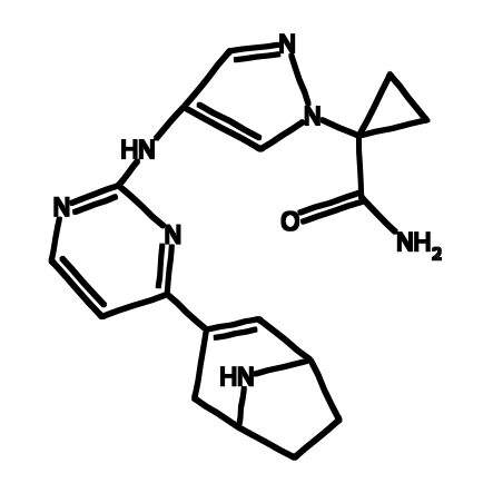 NC(=O)C1(n2cc(Nc3nccc(C4=CC5CCC(C4)N5)n3)cn2)CC1